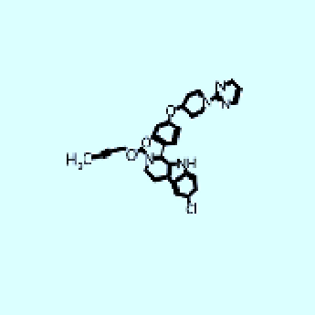 CC#CCOC(=O)N1CCc2c([nH]c3c2=CC(Cl)CC=3)[C@@H]1c1ccc(OC2CCN(c3ncccn3)CC2)cc1